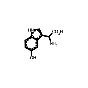 NC(C(=O)O)c1c[nH]c2ccc(O)cc12